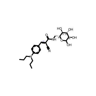 CCCN(CCC)c1ccc(/C=C(\C#N)C(=O)NC[C@H]2OC(O)[C@H](O)[C@@H](O)[C@@H]2O)cc1